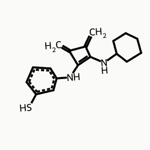 C=C1C(=C)C(NC2CCCCC2)=C1Nc1cccc(S)c1